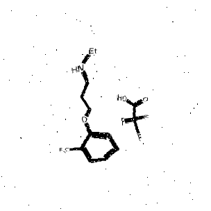 CCNCCCOc1c[c]ccc1C(F)(F)F.O=C(O)C(F)(F)F